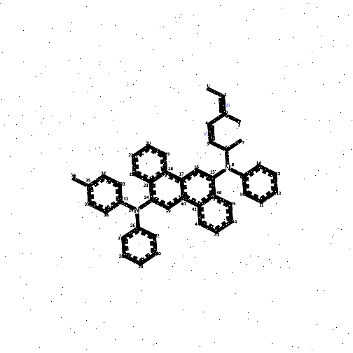 C/C=C(C)\C=C/C(C)N(c1ccccc1)c1cc2c3ccccc3c(N(c3ccccc3)c3ccc(C)cc3)cc2c2ccccc12